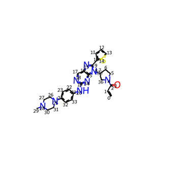 C=CC(=O)N1CC[C@H](n2c(-c3cccs3)nc3cnc(Nc4ccc(N5CCN(C)CC5)cc4)nc32)C1